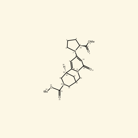 COC(=O)[C@@H]1CCCN1c1cc2n(c(=O)c1)CC1C[C@H]2CN(C(=O)OC(C)(C)C)C1